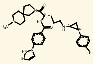 CN1CCC2(CC1)CCN(C(=O)[C@H](CCCN[C@@H]1C[C@H]1c1ccc(F)cc1)NC(=O)c1ccc(N3C=CNN3)cc1)C2